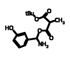 CC(C(=O)OC(N)c1cccc(O)c1)C(=O)OC(C)(C)C